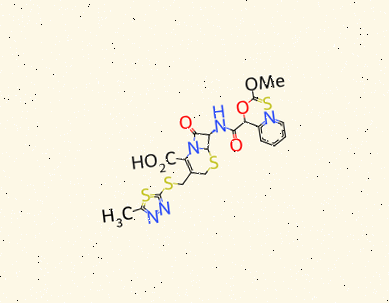 COC(=S)OC(C(=O)N[C@@H]1C(=O)N2C(C(=O)O)=C(CSc3nnc(C)s3)CSC12)c1ccccn1